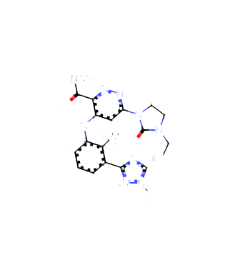 CNC(=O)c1nnc(N2CCN(CC(C)C)C2=O)cc1Nc1cccc(-c2ncn(C)n2)c1OC